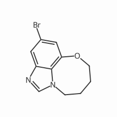 Brc1cc2c3c(c1)ncn3CCCCO2